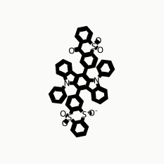 O=C1c2ccccc2S(=O)(=O)c2ccc(-c3c4c5ccccc5n(-c5ccccc5)c4c(-c4ccc5c(c4)[S+]([O-])c4ccccc4S5(=O)=O)c4c5ccccc5n(-c5ccccc5)c34)cc21